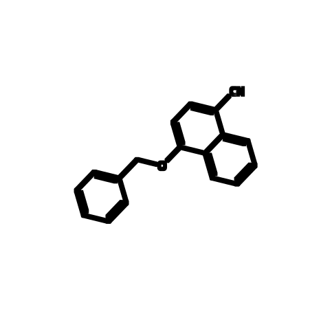 N#Cc1ccc(OCc2ccccc2)c2ccccc12